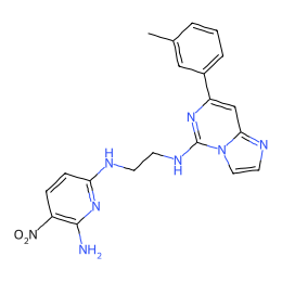 Cc1cccc(-c2cc3nccn3c(NCCNc3ccc([N+](=O)[O-])c(N)n3)n2)c1